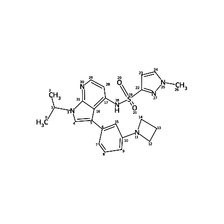 CC(C)n1cc(-c2cccc(N3CCC3)c2)c2c(NS(=O)(=O)c3ccn(C)n3)ccnc21